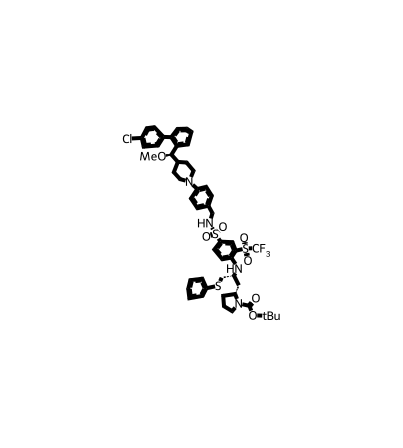 CO[C@@H](c1ccccc1-c1ccc(Cl)cc1)C1CCN(c2ccc(CNS(=O)(=O)c3ccc(N[C@@H](CSc4ccccc4)C[C@H]4CCCN4C(=O)OC(C)(C)C)c(S(=O)(=O)C(F)(F)F)c3)cc2)CC1